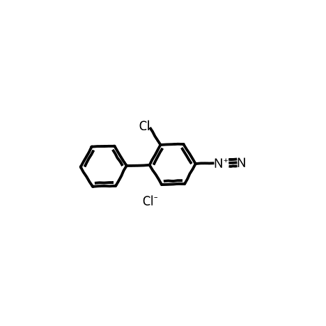 N#[N+]c1ccc(-c2ccccc2)c(Cl)c1.[Cl-]